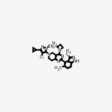 CCn1nc(C2CC2)c(Cl)c1N1CCc2nc(-c3c(C)ccc4[nH]nc(C)c34)nc(N3CC[C@H]3C)c2C1